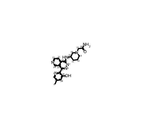 Cc1cnc(-c2nnc(NC3CCCN(CC(N)=O)C3)c3ccncc23)c(O)c1